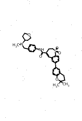 CN(Cc1ccc(NC(=O)C2=Cc3cc(-c4ccc5c(c4)CCC(C)(C)O5)ccc3S(=O)(=O)CC2)cc1)C1CCOCC1